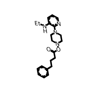 CCNc1cccnc1N1CCN(OC(=O)CCCc2ccccc2)CC1